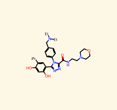 CCN(CC)Cc1ccc(-n2c(C(=O)NCCN3CCOCC3)nnc2-c2cc(C(C)C)c(O)cc2O)cc1